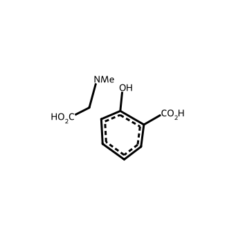 CNCC(=O)O.O=C(O)c1ccccc1O